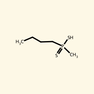 CCCCP(C)(=S)S